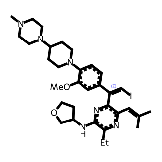 CCc1nc(C=C(C)C)c(/C(=C\I)c2ccc(N3CCC(N4CCN(C)CC4)CC3)c(OC)c2)nc1NC1CCOC1